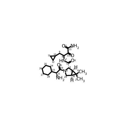 CC1(C)[C@@H]2[C@@H](C(=O)NC(CC3CC3)C(=O)C(N)=O)N(C(=O)[C@@H](N)C3CCCCC3)C[C@@H]21